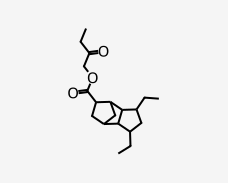 CCC(=O)COC(=O)C1CC2CC1C1C(CC)CC(CC)C21